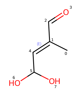 C/C(C=O)=C\C(O)O